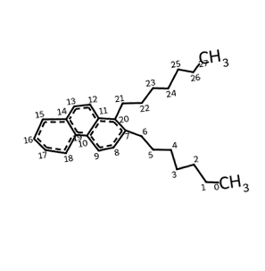 CCCCCCCc1ccc2c(ccc3ccccc32)c1CCCCCCC